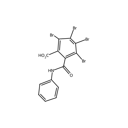 O=C(O)c1c(Br)c(Br)c(Br)c(Br)c1C(=O)Nc1ccccc1